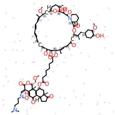 COC[C@H]1OC(=O)/C(=C/N(C)CCCN(C)C)C2=C(O)C(=O)C3=C([C@H](OC(=O)CCCCCCC(=O)O[C@@H]4/C(C)=C/[C@@H](C)C(=O)C[C@@H]([C@H](C)C[C@@H]5CC[C@@H](O)[C@H](OC)C5)OC(=O)[C@@H]5CCCCN5C(=O)C(=O)[C@]5(O)O[C@@H](CC[C@H]5C)C[C@H](OC)/C(C)=C/C=C/C=C/[C@@H](C)C[C@@H](C)C(=O)[C@@H]4OC)C[C@]4(C)C(=O)CC[C@@H]34)[C@]21C